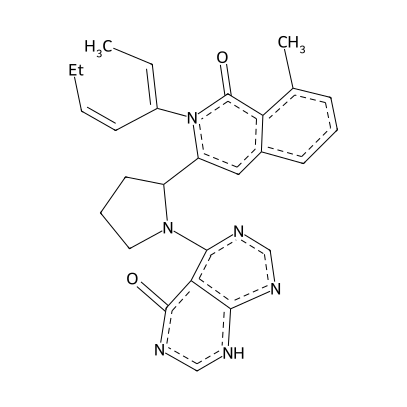 C/C=C(\C=C/CC)n1c(C2CCCN2c2ncnc3[nH]cnc(=O)c23)cc2cccc(C)c2c1=O